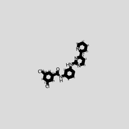 O=C(Nc1cccc(Nc2nccc(-c3ccccn3)n2)c1)c1cc(Cl)cc(Cl)c1